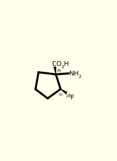 N[C@@]1(C(=O)O)CCC[C@@H]1[18F]